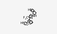 FC(F)(F)c1cnc(NC2CCCC3(CCNCC3)C2)nc1-c1cn(C2CNCCO2)c2ncccc12